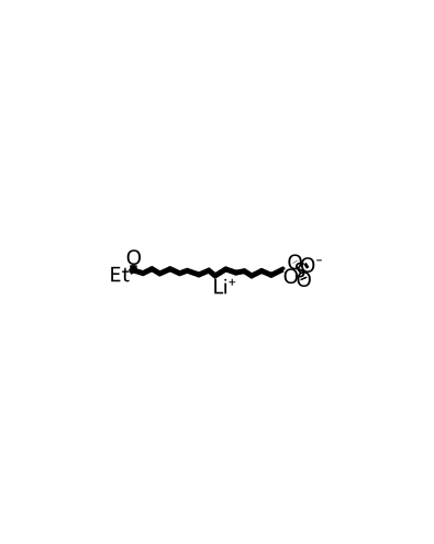 CCC(=O)CCCCCCCCCCCCCCCCOS(=O)(=O)[O-].[Li+]